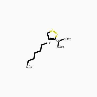 C1=CSSC1.CC(=O)OCCCCCC(C)C.CCCCCCC[CH2][Sn][CH2]CCCCCCC